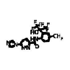 Cc1ccc(NC(=O)c2ccc(-n3ccnc3)nn2)c(C(O)(C(F)(F)F)C(F)(F)F)c1